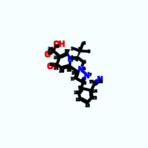 CC(C)(C)[C@@H]1Cn2nc(-c3ccccc3C#N)cc2-c2cc(=O)c(C(=O)O)cn21